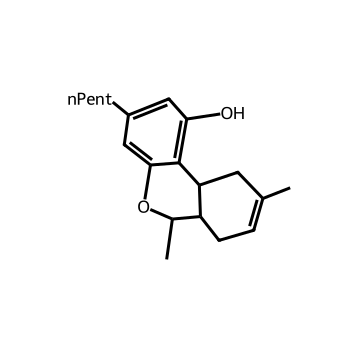 CCCCCc1cc(O)c2c(c1)OC(C)C1CC=C(C)CC21